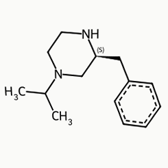 CC(C)N1CCN[C@@H](Cc2ccccc2)C1